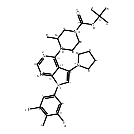 Cc1c(F)cc(-n2cc(N3CCCC3)c3c(N4CCN(C(=O)OC(C)(C)C)CC4C)ncnc32)cc1F